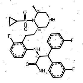 C[C@H]1CNC[C@H](CCc2c(F)cccc2N[C@H](C(N)=O)C(c2cccc(F)c2)c2cccc(F)c2)N1S(=O)(=O)C1CC1